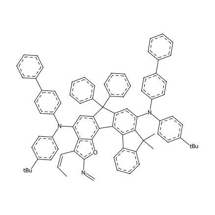 C=Nc1oc2c3c(cc(N(c4ccc(-c5ccccc5)cc4)c4ccc(C(C)(C)C)cc4)c2c1/C=C\C)C(c1ccccc1)(c1ccccc1)c1cc(N(c2ccc(-c4ccccc4)cc2)c2ccc(C(C)(C)C)cc2)c2c(c1-3)-c1ccccc1C2(C)C